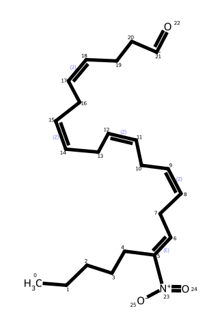 CCCCC/C(=C\C/C=C\C/C=C\C/C=C\C/C=C\CC[C]=O)[N+](=O)[O-]